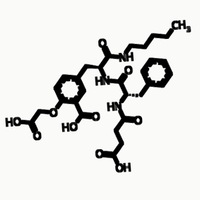 CCCCCNC(=O)[C@H](Cc1ccc(OCC(=O)O)c(C(=O)O)c1)NC(=O)[C@H](Cc1ccccc1)NC(=O)CCC(=O)O